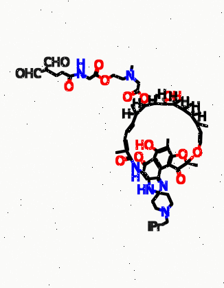 C/C1=C/C=C/[C@H](C)[C@H](OC(=O)CN(C)CCOC(=O)CNC(=O)CCC(C=O)C=O)[C@@H](C)[C@@H](O)[C@@H](C)[C@H](C)[C@H](C)[C@@H](C)/C=C/O[C@@]2(C)Oc3c(C)c(O)c4c(c3C2=O)C2=NC3(CCN(CC(C)C)CC3)NC2=C(NC1=O)C4=O